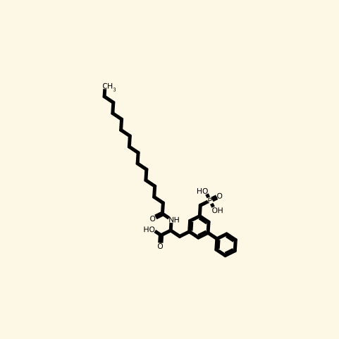 CCCCCCCCCCCCCCCC(=O)NC(Cc1cc(CP(=O)(O)O)cc(-c2ccccc2)c1)C(=O)O